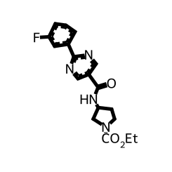 CCOC(=O)N1CCC(NC(=O)c2cnc(-c3cccc(F)c3)nc2)C1